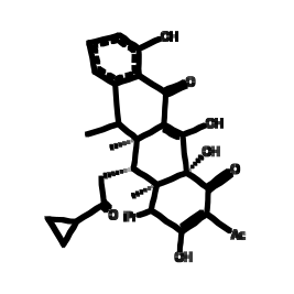 CC(=O)C1=C(O)C(C(C)C)[C@@]2(C)[C@H](CC(=O)C3CC3)[C@]3(C)C(=C(O)[C@@]2(O)C1=O)C(=O)c1c(O)cccc1C3C